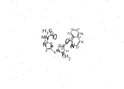 CC(=O)Nc1ncc(CN2C[C@H](Oc3nccc4ccccc34)C[C@@H]2C)s1